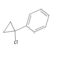 ClC1(c2[c]cccc2)CC1